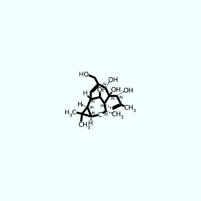 CC1=C[C@]23C(O)[C@@H](C=C(CO)[C@H](O)[C@]2(O)[C@@H]1O)[C@H]1[C@@H](C[C@H]3C)C1(C)C